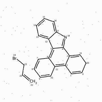 C1=Cc2c(c3c(c4ccccc24)-c2ccccc2N=3)=CC1.C=CCBr